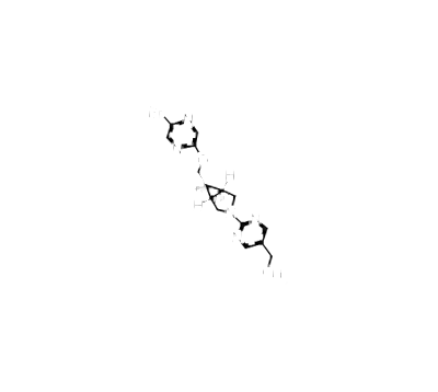 CCc1cnc(N2C[C@@H]3[C@@H](COc4cnc(Br)cn4)[C@@H]3C2)nc1